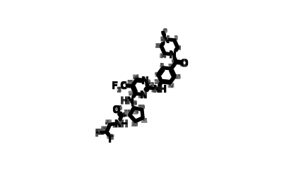 CN1CCN(C(=O)c2ccc(Nc3ncc(C(F)(F)F)c(N[C@@H]4CCC[C@@H]4C(=O)NCC(F)F)n3)cc2)CC1